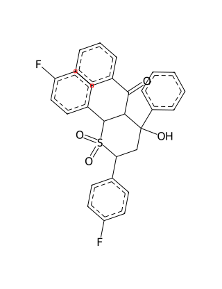 O=C(c1ccccc1)C1C(c2ccc(F)cc2)S(=O)(=O)C(c2ccc(F)cc2)CC1(O)c1ccccc1